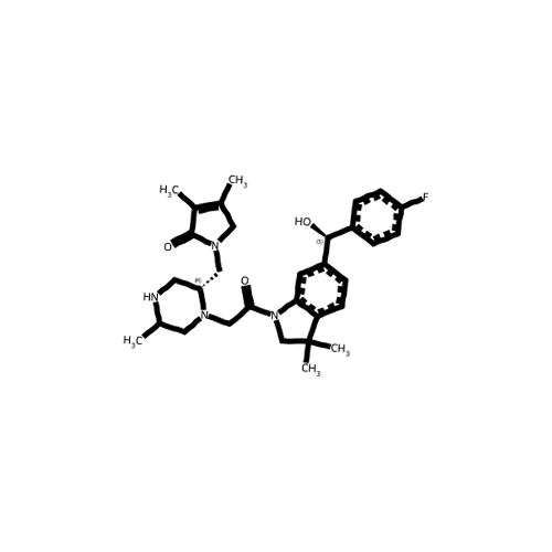 CC1=C(C)C(=O)N(C[C@H]2CNC(C)CN2CC(=O)N2CC(C)(C)c3ccc([C@@H](O)c4ccc(F)cc4)cc32)C1